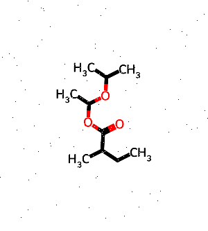 CCC(C)C(=O)OC(C)OC(C)C